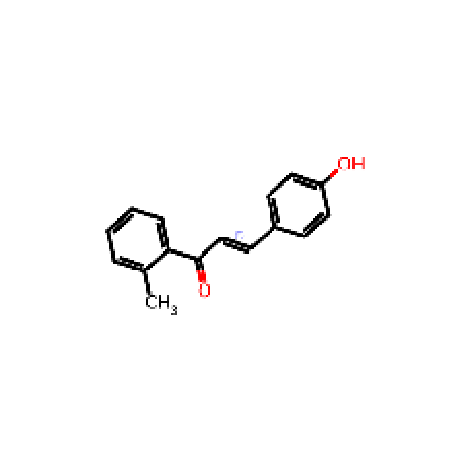 Cc1ccccc1C(=O)/C=C/c1ccc(O)cc1